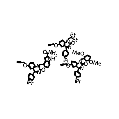 C#CCOc1ccc2c(c1)c(-c1ccc(C(C)C)cc1)nc(=O)n2CC(CC)CC.C#CCOc1ccc2c(c1)c(-c1ccc(C(C)C)cc1)nc(=O)n2Cc1cc(OC)ccc1OC.C#CCOc1ccc2c(c1)c(-c1ccc(C(C)C)cc1)nc(=O)n2Cc1cccc2[nH]c(C(N)=O)cc12